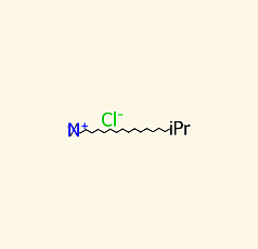 CC(C)CCCCCCCCCCCCCCC[N+](C)(C)C.[Cl-]